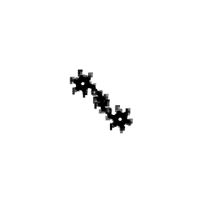 Fc1c(F)c(F)c(COCC(F)(F)C(F)(F)COCc2c(F)c(F)c(F)c(F)c2F)c(F)c1F